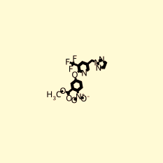 COC(=O)c1cc(Oc2ncc(Cn3nccn3)cc2C(F)(F)F)ccc1[N+](=O)[O-]